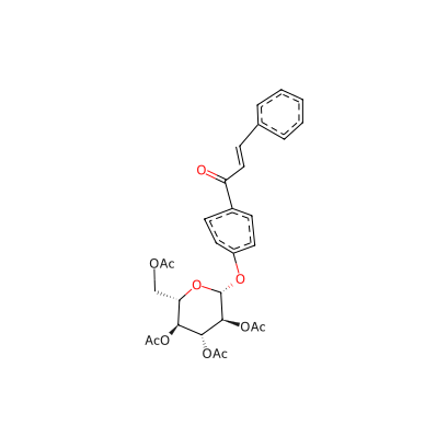 CC(=O)OC[C@@H]1O[C@H](Oc2ccc(C(=O)/C=C/c3ccccc3)cc2)[C@@H](OC(C)=O)[C@H](OC(C)=O)[C@H]1OC(C)=O